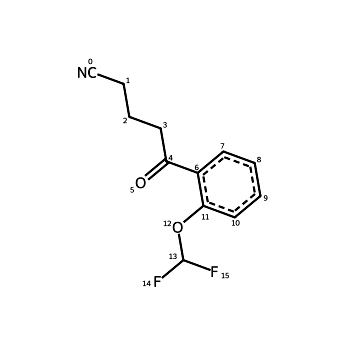 N#CCCCC(=O)c1ccccc1OC(F)F